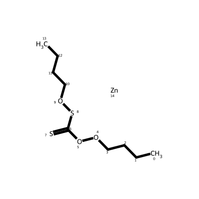 CCCCOOC(=S)SOCCCC.[Zn]